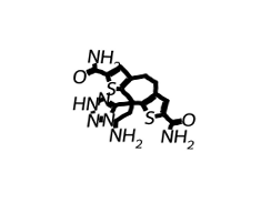 NCCC1(c2nn[nH]n2)c2sc(C(N)=O)cc2CCc2cc(C(N)=O)sc21